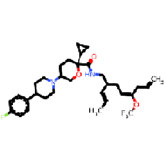 C=CC/C(=C\CC(C=CC)CNC(=O)[C@@]1(C2CC2)CCC(N2CCC(c3ccc(F)cc3)CC2)CO1)OC(F)(F)F